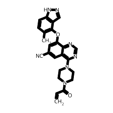 C=CC(=O)N1CCN(c2ncnc3c(Oc4c(C)ccc5[nH]ncc45)cc(C#N)cc23)CC1